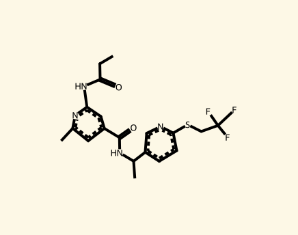 CCC(=O)Nc1cc(C(=O)NC(C)c2ccc(SCC(F)(F)F)nc2)cc(C)n1